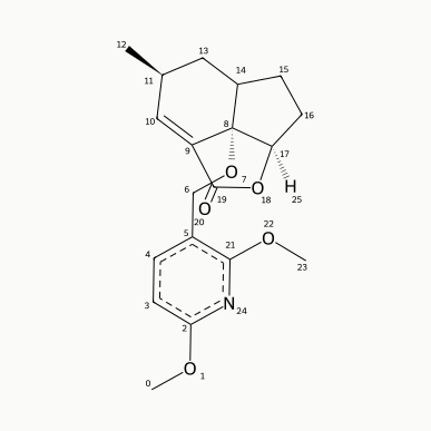 COc1ccc(CO[C@]23C4=C[C@@H](C)CC2CC[C@H]3OC4=O)c(OC)n1